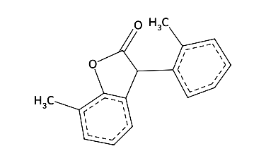 Cc1ccccc1C1C(=O)Oc2c(C)cccc21